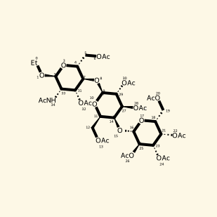 CCO[C@H]1O[C@H](COC(C)=O)[C@@H](O[C@@H]2O[C@H](COC(C)=O)[C@H](O[C@@H]3O[C@H](COC(C)=O)[C@H](OC(C)=O)[C@H](OC(C)=O)[C@H]3OC(C)=O)[C@H](OC(C)=O)[C@H]2OC(C)=O)[C@H](OC(C)=O)[C@@H]1NC(C)=O